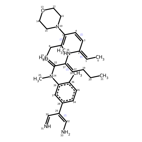 C\C=C(/C=C\C(=C(/C)CC)N1CCOCC1)N/C(=C\CCC)C(=O)N(C)c1cc(/C(C=N)=C/N)ccc1C